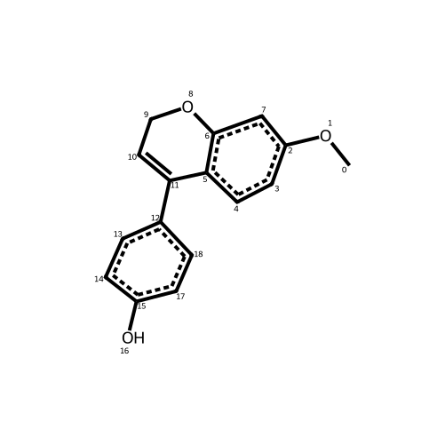 COc1ccc2c(c1)OCC=C2c1ccc(O)cc1